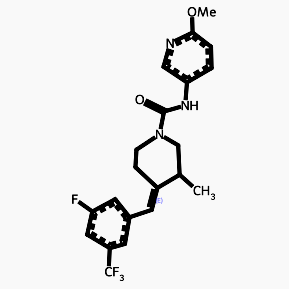 COc1ccc(NC(=O)N2CC/C(=C\c3cc(F)cc(C(F)(F)F)c3)C(C)C2)cn1